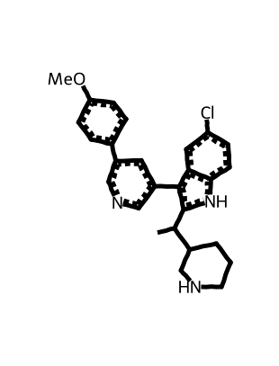 COc1ccc(-c2cncc(-c3c(C(C)C4CCCNC4)[nH]c4ccc(Cl)cc34)c2)cc1